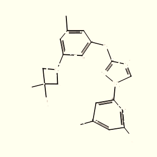 Cc1cc(Nc2ncn(-c3cc(F)cc(F)c3)n2)cc(N2CC(O)(C(C)C)C2)c1